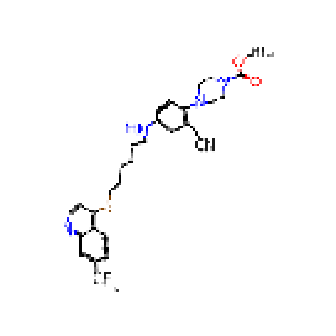 CC(C)(C)OC(=O)N1CCN(c2ccc(NCCCCCCSc3ccnc4cc(C(F)(F)F)ccc34)cc2CC#N)CC1